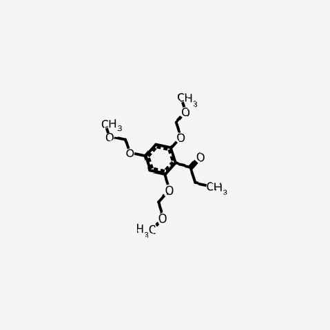 CCC(=O)c1c(OCOC)cc(OCOC)cc1OCOC